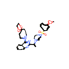 COc1ccc(S(=O)(=O)N2CCN(C(C)c3nc(N4CCC5(CC4)OCCO5)c4ccccc4n3)CC2)cc1